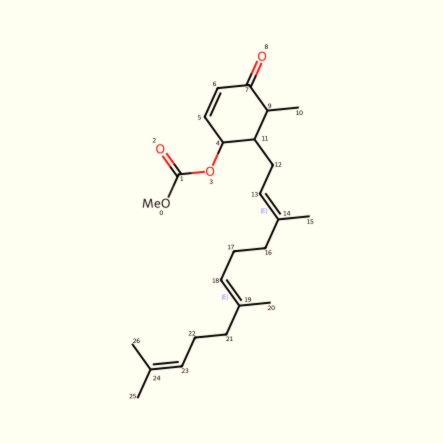 COC(=O)OC1C=CC(=O)C(C)C1C/C=C(\C)CC/C=C(\C)CCC=C(C)C